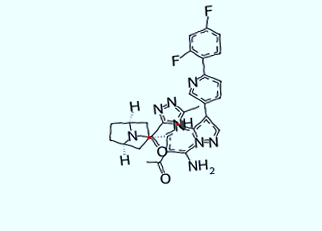 CC(=O)c1c([C@@H]2C[C@H]3CC[C@@H](C2)N3C(=O)c2nnc(C)[nH]2)nc2c(-c3ccc(-c4ccc(F)cc4F)nc3)cnn2c1N